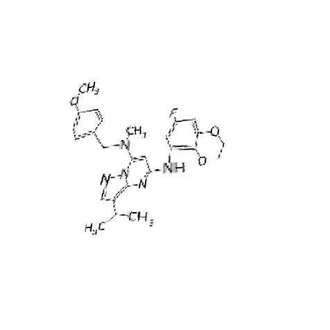 COc1ccc(CN(C)c2cc(Nc3cc(F)cc4c3OCCO4)nc3c(C(C)C)cnn23)cc1